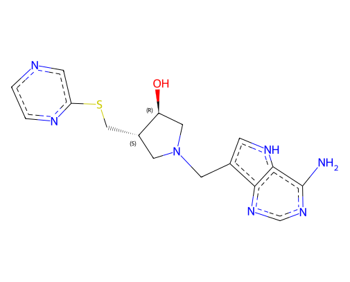 Nc1ncnc2c(CN3C[C@H](CSc4cnccn4)[C@@H](O)C3)c[nH]c12